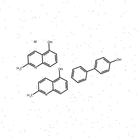 Cc1ccc2c(O)cccc2n1.Cc1ccc2c(O)cccc2n1.Oc1ccc(-c2ccccc2)cc1.[Al]